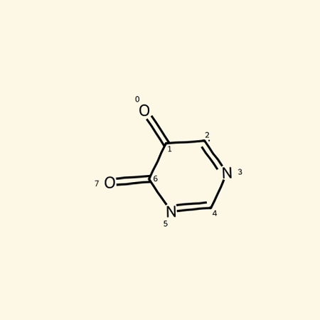 O=C1[C]=NC=NC1=O